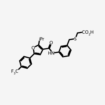 CC(C)c1oc(-c2ccc(C(F)(F)F)cc2)cc1C(=O)Nc1cccc(CSCC(=O)O)c1